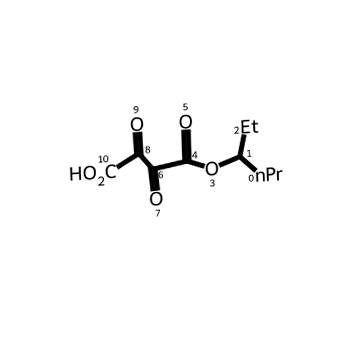 CCCC(CC)OC(=O)C(=O)C(=O)C(=O)O